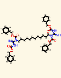 N=C(NC(=O)OCc1ccccc1)N(CCCCCCCCCCCCN(C(=N)NC(=O)OCc1ccccc1)C(=O)OCc1ccccc1)C(=O)OCc1ccccc1